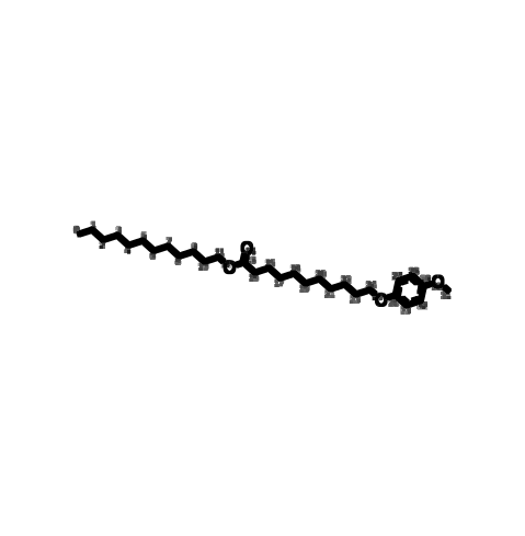 CCCCCCCCCCCCOC(=O)CCCCCCCCCCOc1ccc(OC)cc1